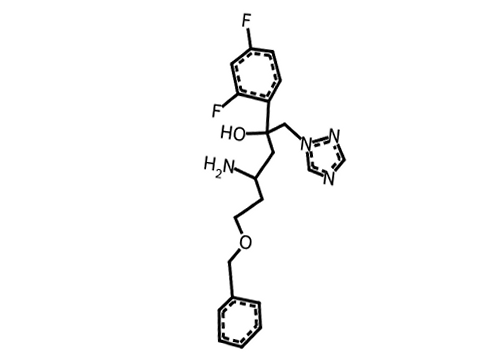 NC(CCOCc1ccccc1)CC(O)(Cn1cncn1)c1ccc(F)cc1F